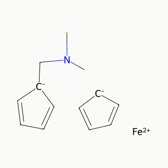 CN(C)C[c-]1cccc1.[Fe+2].c1cc[cH-]c1